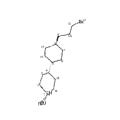 CCCC[SiH]1CCC([C@H]2CC[C@H](CCCBr)CC2)CC1